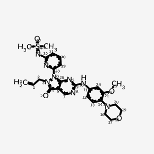 C=CCn1c(=O)c2cnc(Nc3ccc(N4CCOCC4)c(OC)c3)nc2n1-c1cccc(N=S(C)(C)=O)n1